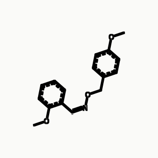 COc1ccc(CO/N=[C]\c2ccccc2OC)cc1